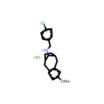 COc1ccc2c(c1)CC1CCC(C2)C1NCc1ccc(Cl)cc1.Cl